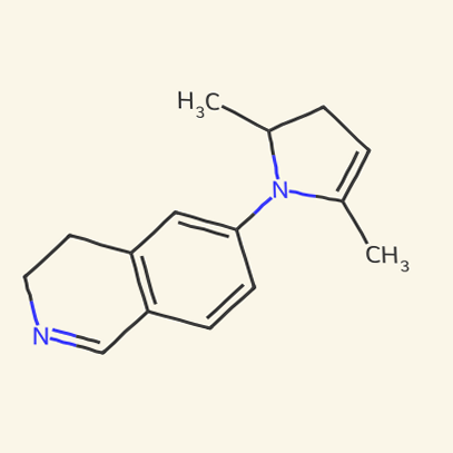 CC1=CCC(C)N1c1ccc2c(c1)CCN=C2